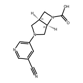 N#Cc1cncc(N2C[C@H]3CN(C(=O)O)[C@H]3C2)c1